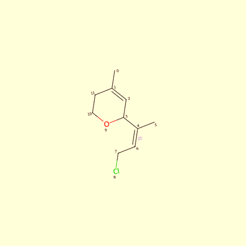 CC1=CC(/C(C)=C\CCl)OCC1